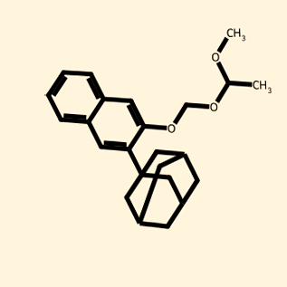 COC(C)OCOc1cc2cc[c]cc2cc1C12CC3CC(CC(C3)C1)C2